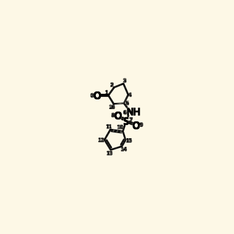 O=C1CCCC(NS(=O)(=O)c2ccccc2)C1